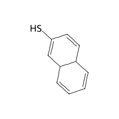 SC1=CC2C=CC=CC2C=C1